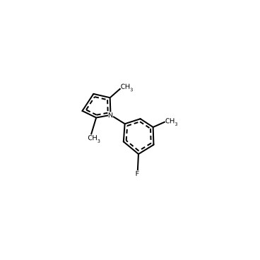 Cc1cc(F)cc(-n2c(C)ccc2C)c1